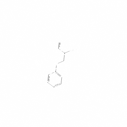 CC(=O)NC(C=S)CSc1ccccc1